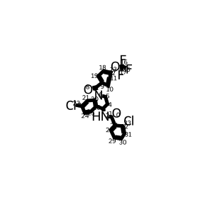 O=C(NC1CCN(C(=O)c2ccc(OC(F)(F)F)cc2)c2cc(Cl)ccc21)c1ccccc1Cl